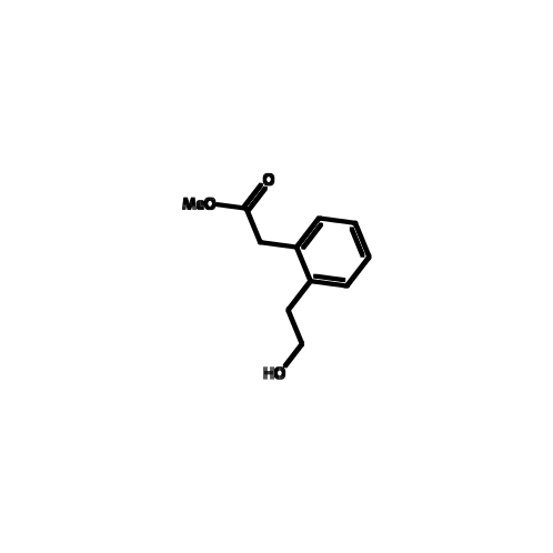 COC(=O)Cc1ccccc1CCO